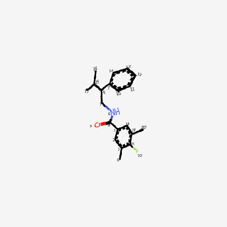 Cc1cc(C(=O)NCC(c2ccccc2)C(C)C)cc(C)c1F